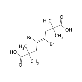 CC(C)(CC(Br)=C(Br)CC(C)(C)C(=O)O)C(=O)O